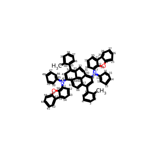 Cc1ccccc1-c1cc(N(c2ccccc2)c2cccc3c2oc2ccccc23)c2ccc3c(-c4ccccc4C)cc(N(c4ccccc4)c4cccc5c4oc4ccccc45)c4ccc1c2c34